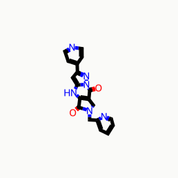 O=C1c2[nH]c3cc(-c4ccncc4)nn3c(=O)c2CN1Cc1ccccn1